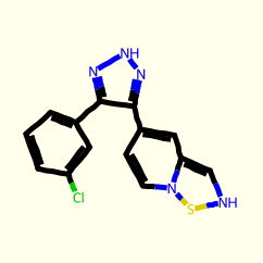 Clc1cccc(-c2n[nH]nc2C2=CC3=CNSN3C=C2)c1